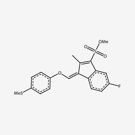 COS(=O)(=O)C1=C(C)C(=COc2ccc(SC)cc2)c2ccc(F)cc21